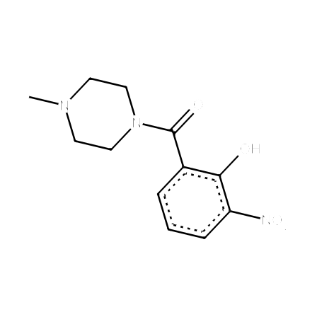 CN1CCN(C(=O)c2cccc([N+](=O)[O-])c2O)CC1